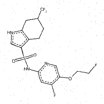 O=S(=O)(Nc1cc(F)c(OCCF)cn1)c1c[nH]c2c1CCC(C(F)(F)F)C2